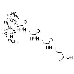 [13CH3]N1[13CH2][13CH2]N([13CH2][13CH]2[13CH2][13CH2][13CH2][15N]2[13CH2]C(=O)[15NH]CCC(=O)[15NH]CCC(=O)NCCCC(=O)O)[13CH2][13CH2]1